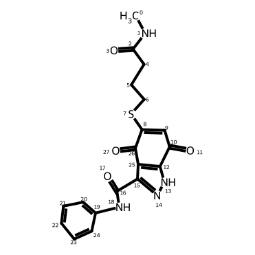 CNC(=O)CCCSC1=CC(=O)c2[nH]nc(C(=O)Nc3ccccc3)c2C1=O